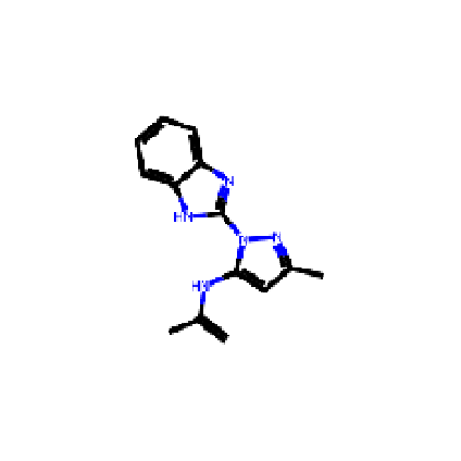 C=C(C)Nc1cc(C)nn1-c1nc2ccccc2[nH]1